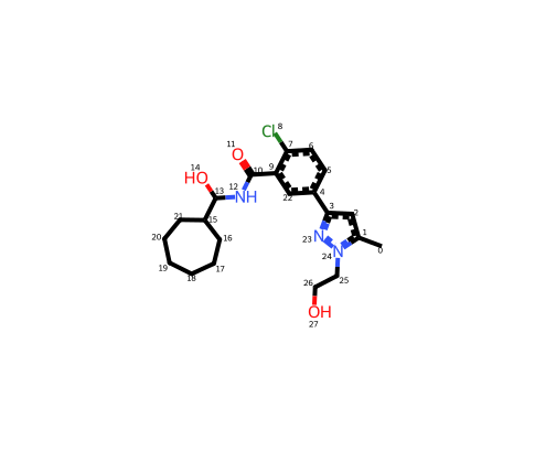 Cc1cc(-c2ccc(Cl)c(C(=O)NC(O)C3CCCCCC3)c2)nn1CCO